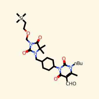 CCCCn1c(C)c(C=O)c(=O)n(C2CCC(CN3C(=O)N(COCC[Si](C)(C)C)C(=O)C3(C)C)CC2)c1=O